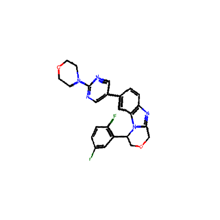 Fc1ccc(F)c(C2COCc3nc4ccc(-c5cnc(N6CCOCC6)nc5)cc4n32)c1